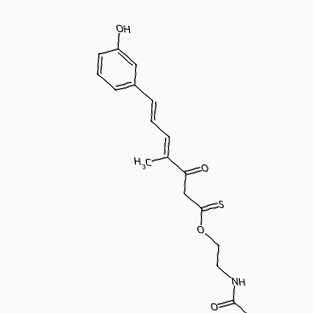 CC(=O)NCCOC(=S)CC(=O)/C(C)=C/C=C/c1cccc(O)c1